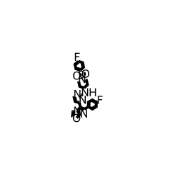 O=S(=O)(c1ccc(F)cc1)N1CCC(Nc2nccc(-c3c(-c4ccc(F)cc4)nc4occn34)n2)CC1